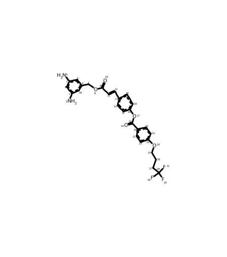 Nc1cc(N)cc(COC(=O)/C=C/c2ccc(OC(=O)c3ccc(OCCCC(F)(F)F)cc3)cc2)c1